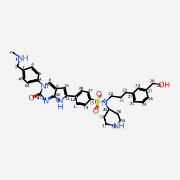 CNCc1ccc(-n2cc3cc(-c4ccc(S(=O)(=O)N(CCCc5cccc(CO)c5)C5CCNCC5)cc4)[nH]c3nc2=O)cc1